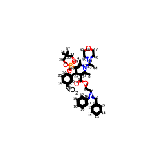 CC1=C(C(=O)OCCN(Cc2ccccc2)c2ccccc2)C(c2cccc([N+](=O)[O-])c2)C(P2(=O)OCC(C)(C)CO2)=C(C)N1C(C)N1CCOCC1